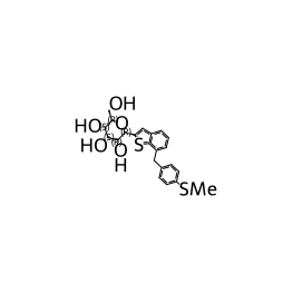 CSc1ccc(Cc2cccc3cc([C@@H]4O[C@H](CO)[C@@H](O)[C@H](O)[C@H]4O)sc23)cc1